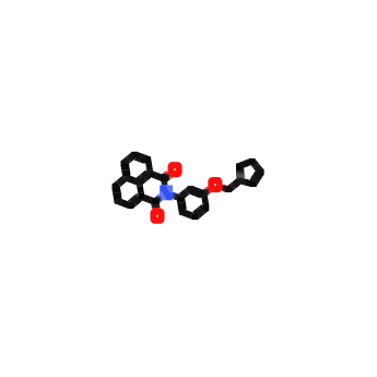 O=C1c2cccc3cccc(c23)C(=O)N1c1cccc(OCC2=CCC=C2)c1